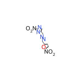 Cn1c(C=NN=Cc2ccc([N+](=O)[O-])o2)cnc1[N+](=O)[O-]